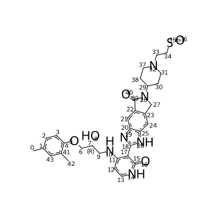 Cc1ccc(OC[C@H](O)CNc2cc[nH]c(=O)c2-c2nc3cc4c(cc3[nH]2)CN(C2CCN(CC[S+]=O)CC2)C4=O)c(C)c1